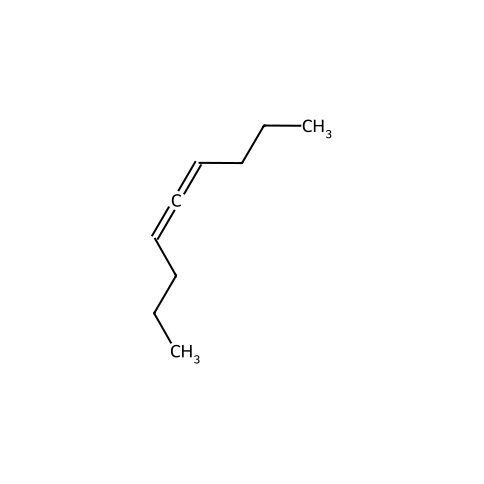 CCCC=C=CCCC